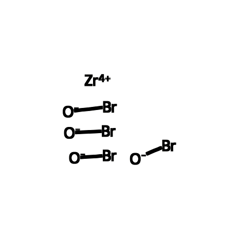 [O-]Br.[O-]Br.[O-]Br.[O-]Br.[Zr+4]